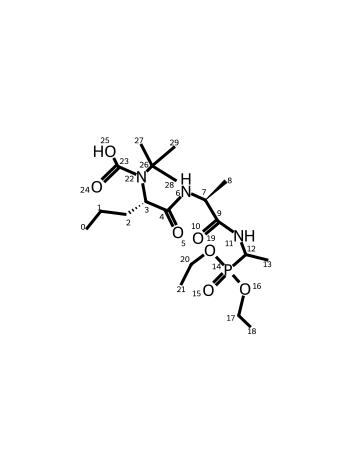 CCC[C@@H](C(=O)N[C@@H](C)C(=O)NC(C)P(=O)(OCC)OCC)N(C(=O)O)C(C)(C)C